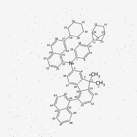 CC1(C)c2cc(N(c3ccc(C4CC5CCC4C5)cc3)c3cccc4ccc(C5CCCCC5)cc34)ccc2-c2c(-c3cccc4ccccc34)cccc21